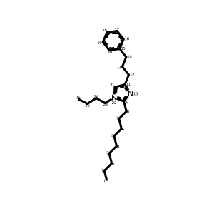 CCCCCCCCCc1nc(CCCc2ccccc2)cn1CCCC